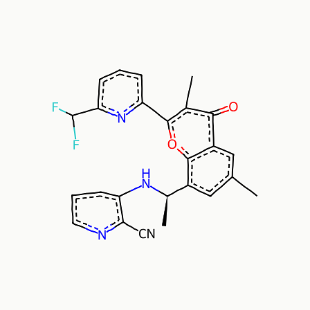 Cc1cc([C@@H](C)Nc2cccnc2C#N)c2oc(-c3cccc(C(F)F)n3)c(C)c(=O)c2c1